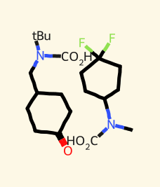 CC(C)(C)N(CC1CCC(=O)CC1)C(=O)O.CN(C(=O)O)C1CCC(F)(F)CC1